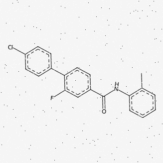 Cc1ccccc1NC(=O)c1ccc(-c2ccc(Cl)cc2)c(F)c1